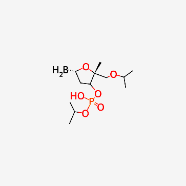 B[C@H]1CC(OP(=O)(O)OC(C)C)[C@@](C)(COC(C)C)O1